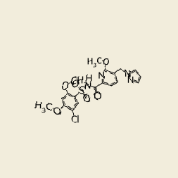 COc1cc(OC)c(S(=O)(=O)NC(=O)c2ccc(Cn3cccn3)c(OC)n2)cc1Cl